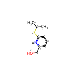 CC(C)Sc1cccc(CO)n1